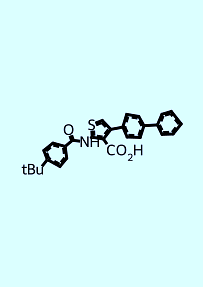 CC(C)(C)c1ccc(C(=O)Nc2scc(-c3ccc(-c4ccccc4)cc3)c2C(=O)O)cc1